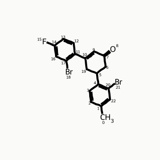 Cc1ccc(C2CC(=O)C=C(c3ccc(F)cc3Br)C2)c(Br)c1